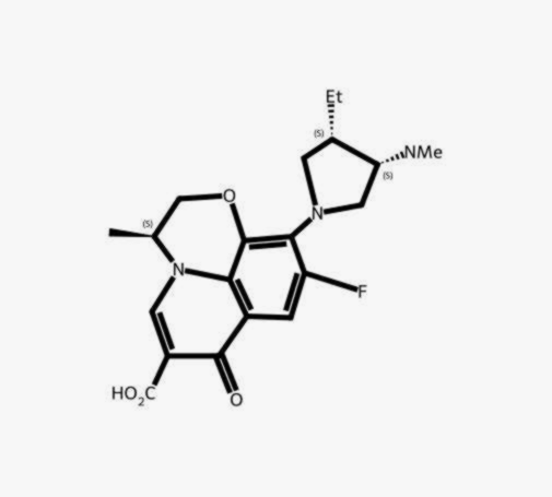 CC[C@H]1CN(c2c(F)cc3c(=O)c(C(=O)O)cn4c3c2OC[C@@H]4C)C[C@H]1NC